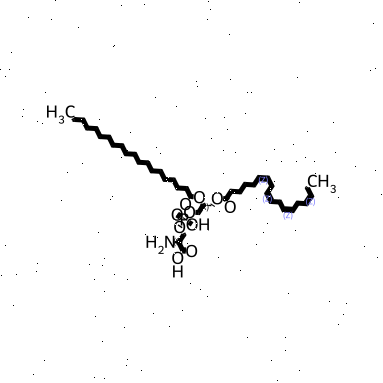 CC/C=C\C/C=C\C/C=C\C/C=C\CCCCC(=O)OC[C@H](COP(=O)(O)OC[C@H](N)C(=O)O)OC(=O)CCCCCCCCCCCCCCCCCCC